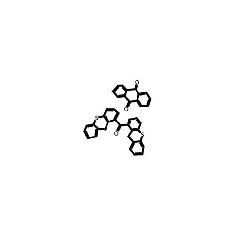 O=C(c1cccc2c1Cc1ccccc1S2)c1cccc2c1Cc1ccccc1S2.O=C1c2ccccc2C(=O)c2ccccc21